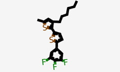 CCCCCCc1cc(C)sc1-c1ccc(-c2cc(F)c(F)c(F)c2)s1